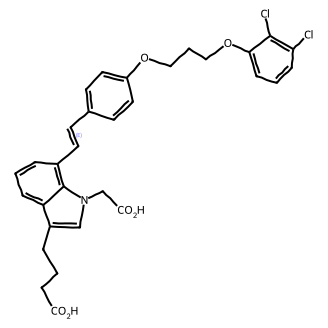 O=C(O)CCCc1cn(CC(=O)O)c2c(/C=C/c3ccc(OCCCOc4cccc(Cl)c4Cl)cc3)cccc12